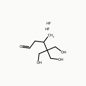 CC(CC=O)C(CO)(CO)CO.F.F